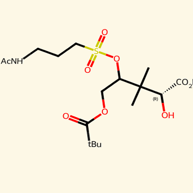 CC(=O)NCCCS(=O)(=O)OC(COC(=O)C(C)(C)C)C(C)(C)[C@@H](O)C(=O)O